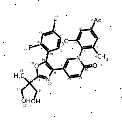 CC(=O)c1cc(C)c(-n2cc(-c3nc(C(C)(CO)CO)oc3-c3ccc(F)cc3F)ccc2=O)c(C)c1